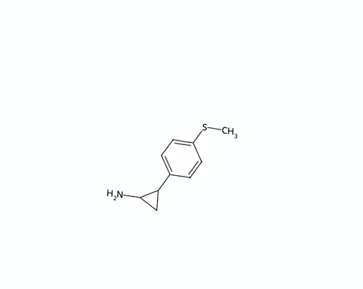 CSc1ccc(C2CC2N)cc1